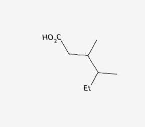 CCC(C)C(C)CC(=O)O